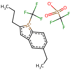 CCCc1cc2cc(CC)ccc2[s+]1C(F)(F)F.O=S(=O)([O-])C(F)(F)F